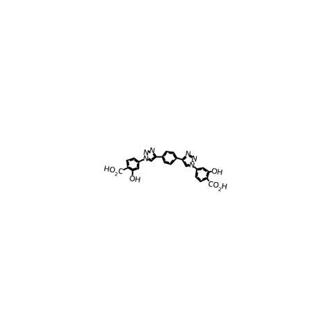 O=C(O)c1ccc(-n2cc(-c3ccc(-c4cn(-c5ccc(C(=O)O)c(O)c5)nn4)cc3)nn2)cc1O